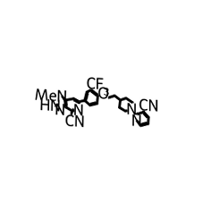 CNc1cc(-c2ccc(OCCC3CCN(c4ncccc4C#N)CC3)c(C(F)(F)F)c2)nc(C#N)c1N=N